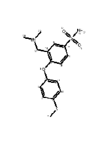 CSc1ccc(Oc2ccc(S(N)(=O)=O)cc2CN(C)C)cc1